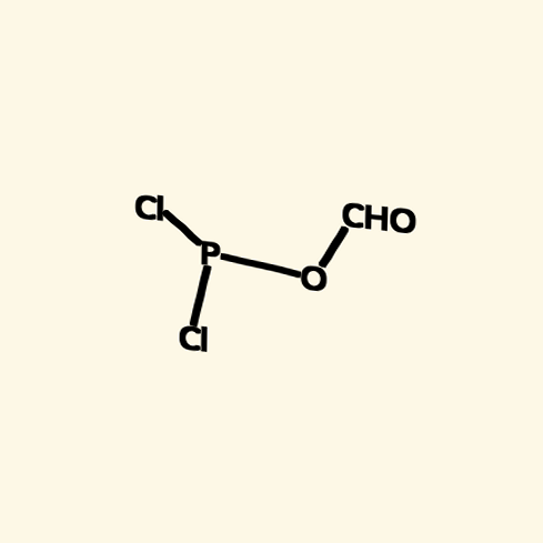 O=COP(Cl)Cl